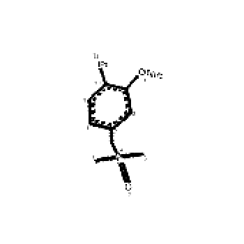 COc1cc(P(C)(C)=O)ccc1C(C)C